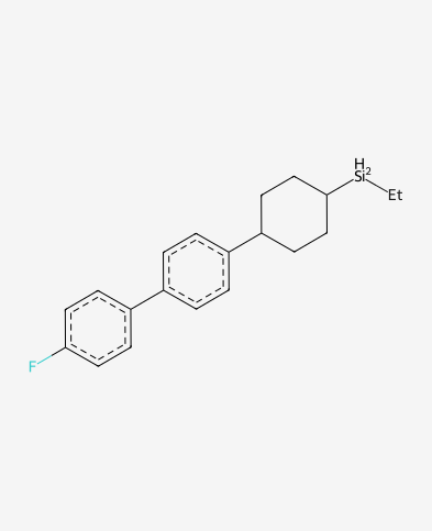 CC[SiH2]C1CCC(c2ccc(-c3ccc(F)cc3)cc2)CC1